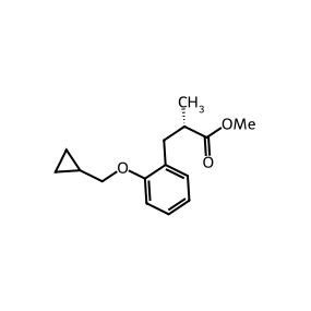 COC(=O)[C@@H](C)Cc1ccccc1OCC1CC1